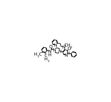 Cc1cccc(NC(=O)N2CCN(c3cnn(-c4ccccc4)c(=O)c3N(C)CCc3ccccn3)CC2)c1C